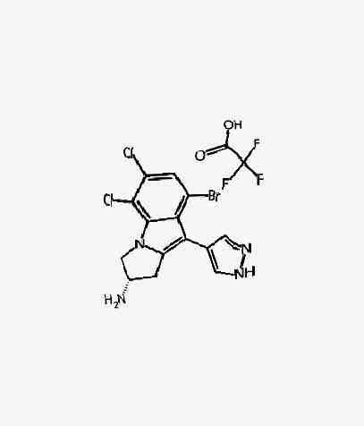 N[C@H]1Cc2c(-c3cn[nH]c3)c3c(Br)cc(Cl)c(Cl)c3n2C1.O=C(O)C(F)(F)F